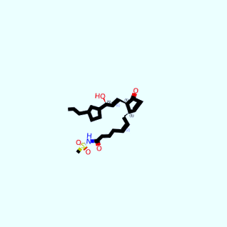 CCCC1CCC([C@H](O)/C=C/[C@H]2C(=O)C=C[C@@H]2C/C=C\CCCC(=O)NS(C)(=O)=O)C1